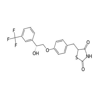 O=C1NC(=O)C(Cc2ccc(OC[C@H](O)c3cccc(C(F)(F)F)c3)cc2)S1